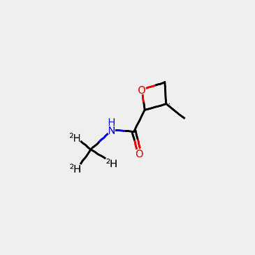 [2H]C([2H])([2H])NC(=O)C1OC[C]1C